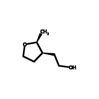 C[C@@H]1OCC[C@@H]1CCO